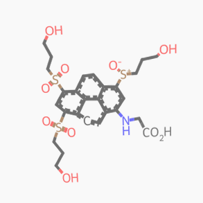 O=C(O)CNc1cc([S+]([O-])CCCO)c2ccc3c(S(=O)(=O)CCCO)cc(S(=O)(=O)CCCO)c4ccc1c2c43